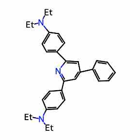 CCN(CC)c1ccc(-c2cc(-c3ccccc3)cc(-c3ccc(N(CC)CC)cc3)n2)cc1